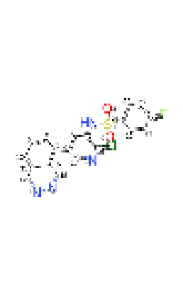 O=S(=O)(Nc1cc(-c2cccc3cnncc23)cnc1Cl)c1ccc(F)cc1